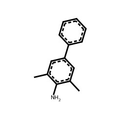 Cc1cc(-c2ccccc2)cc(C)c1N